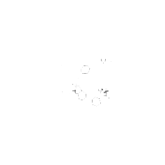 CCOC(=O)Cc1cc(COC)ccc1OCc1nn(C2CCOC2)c2ccc(-c3cccc(C(=N)N)c3OC)cc12